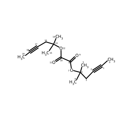 CC#CCC(C)(C)OC(=O)C(=O)OC(C)(C)CC#CC